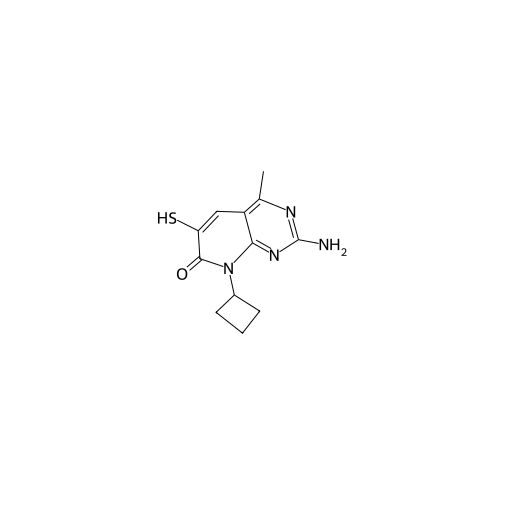 Cc1nc(N)nc2c1cc(S)c(=O)n2C1CCC1